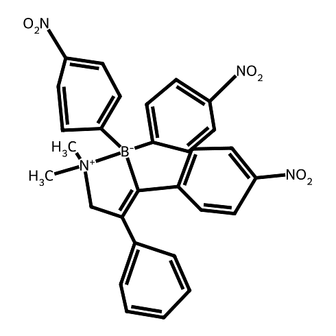 C[N+]1(C)CC(c2ccccc2)=C(c2ccc([N+](=O)[O-])cc2)[B-]1(c1ccc([N+](=O)[O-])cc1)c1ccc([N+](=O)[O-])cc1